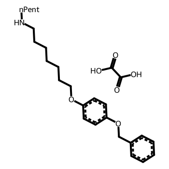 CCCCCNCCCCCCCOc1ccc(OCc2ccccc2)cc1.O=C(O)C(=O)O